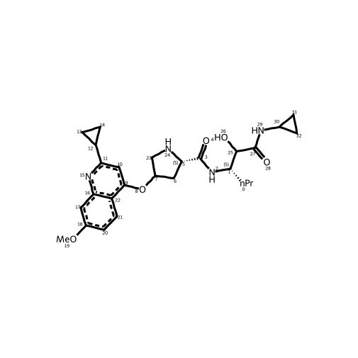 CCC[C@H](NC(=O)[C@@H]1CC(Oc2cc(C3CC3)nc3cc(OC)ccc23)CN1)C(O)C(=O)NC1CC1